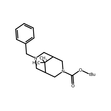 CC(C)(C)OC(=O)N1CC2CN(Cc3ccccc3)CC(C1)C2(C)C